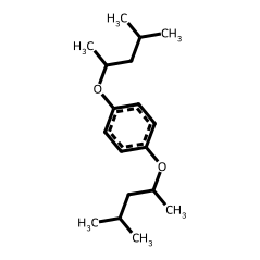 CC(C)CC(C)Oc1ccc(OC(C)CC(C)C)cc1